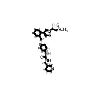 CN(C)CCn1cc(-c2ccccc2COc2ccc(NC(=O)NCc3cccnc3)cc2)cn1